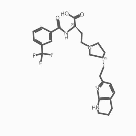 O=C(N[C@H](CCN1CC[C@H](CCc2ccc3c(n2)NCCC3)C1)C(=O)O)c1cccc(C(F)(F)F)c1